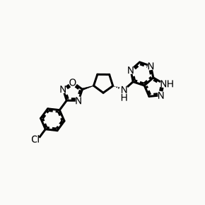 Clc1ccc(-c2noc([C@H]3CC[C@H](Nc4ncnc5[nH]ncc45)C3)n2)cc1